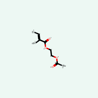 CC/C=C(\CCC)C(=O)OCCOC(=O)C(C)(C)C